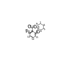 O=C1OC2(CCCCC2)Oc2cccc(F)c21